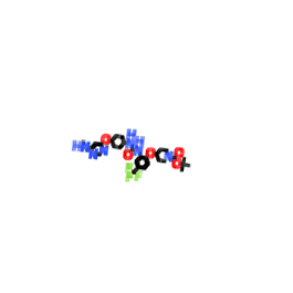 CNc1cc(O[C@H]2CC[C@H](NC(=O)Nc3cc(C(F)(F)F)ccc3OC3CCN(C(=O)OC(C)(C)C)CC3)CC2)ncn1